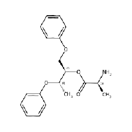 C[C@H](N)C(=O)O[C@H](COc1ccccc1)[C@H](C)Oc1ccccc1